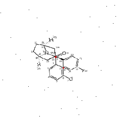 O=C(c1cccc(Cl)c1)N1[C@@H]2CC[C@H]1C[C@@H](c1ccc(F)cc1)C2